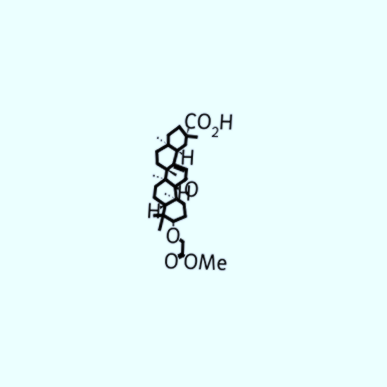 COC(=O)CO[C@H]1CC[C@]2(C)[C@H]3C(=O)C=C4[C@@H]5C[C@@](C)(C(=O)O)CC[C@]5(C)CC[C@@]4(C)[C@]3(C)CC[C@H]2C1(C)C